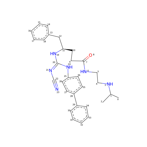 CC(C)NCCNC(=O)CC[C@H](Cc1ccccc1)N/C(=N/C#N)Nc1ccc(-c2ccccc2)cc1